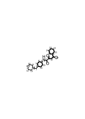 O=C(Nc1ccc(CN2CCSCC2)cc1)c1cc(=O)c2ccccc2o1